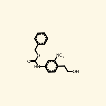 O=C(Nc1ccc(CCO)c([N+](=O)[O-])c1)OCc1ccccc1